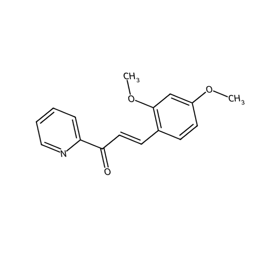 COc1ccc(C=CC(=O)c2ccccn2)c(OC)c1